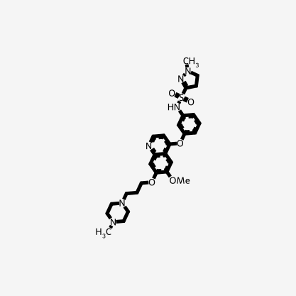 COc1cc2c(Oc3cccc(NS(=O)(=O)C4=NN(C)CC4)c3)ccnc2cc1OCCCN1CCN(C)CC1